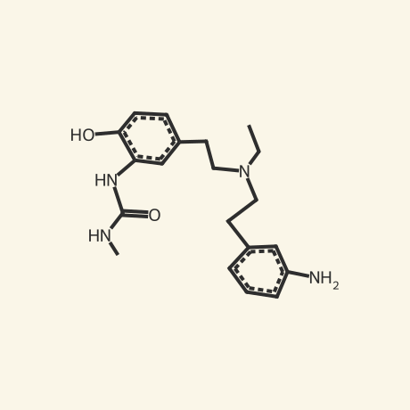 CCN(CCc1cccc(N)c1)CCc1ccc(O)c(NC(=O)NC)c1